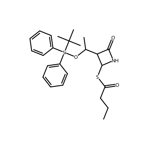 CCCC(=O)SC1NC(=O)C1C(C)O[Si](c1ccccc1)(c1ccccc1)C(C)(C)C